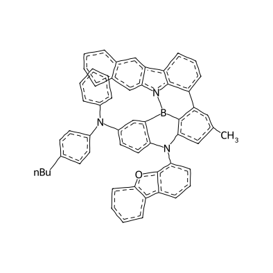 CCCCc1ccc(N(c2ccccc2)c2ccc3c(c2)B2c4c(cc(C)cc4N3c3cccc4c3oc3ccccc34)-c3cccc4c5cc6ccccc6cc5n2c34)cc1